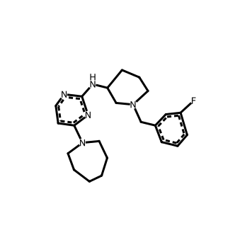 Fc1cccc(CN2CCCC(Nc3nccc(N4CCCCCC4)n3)C2)c1